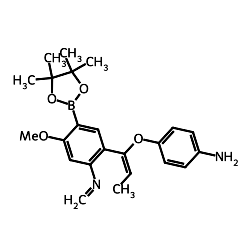 C=Nc1cc(OC)c(B2OC(C)(C)C(C)(C)O2)cc1/C(=C\C)Oc1ccc(N)cc1